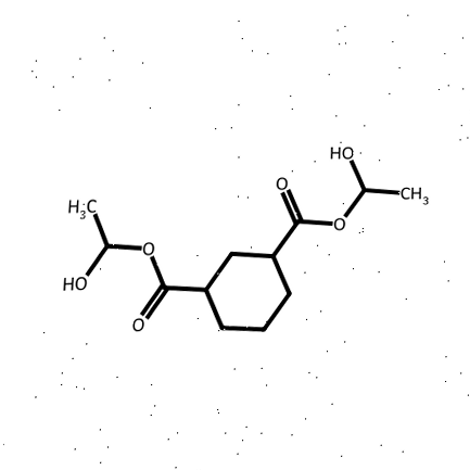 CC(O)OC(=O)C1CCCC(C(=O)OC(C)O)C1